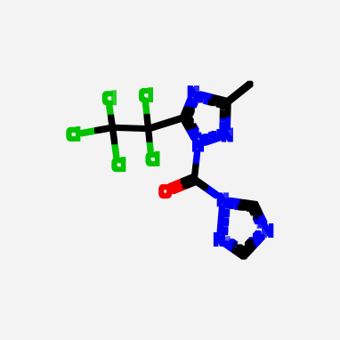 Cc1nc(C(Cl)(Cl)C(Cl)(Cl)Cl)n(C(=O)n2cncn2)n1